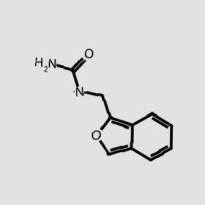 NC(=O)[N]Cc1occ2ccccc12